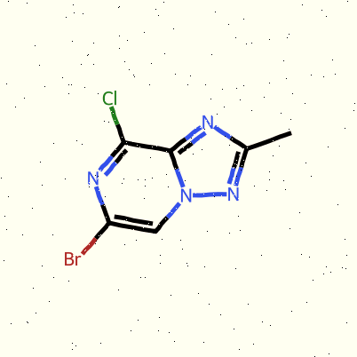 Cc1nc2c(Cl)nc(Br)cn2n1